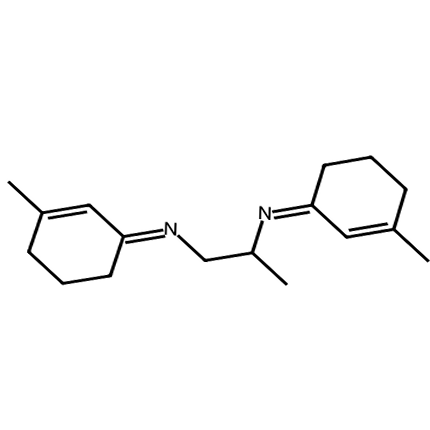 CC1=CC(=NCC(C)N=C2C=C(C)CCC2)CCC1